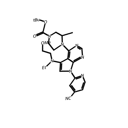 CCN(CCOC)c1cn(-c2cc(C#N)ccn2)c2ncnc(N3CCN(C(=O)OC(C)(C)C)CC3C)c12